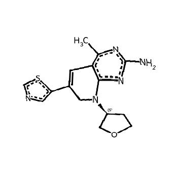 Cc1nc(N)nc2c1C=C(c1cncs1)CN2[C@H]1CCOC1